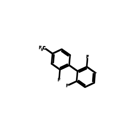 Fc1[c]ccc(F)c1-c1ccc(C(F)(F)F)cc1F